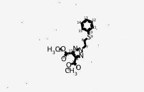 COC(=O)c1nn(CCSc2ccccc2)nc1C(=O)OC